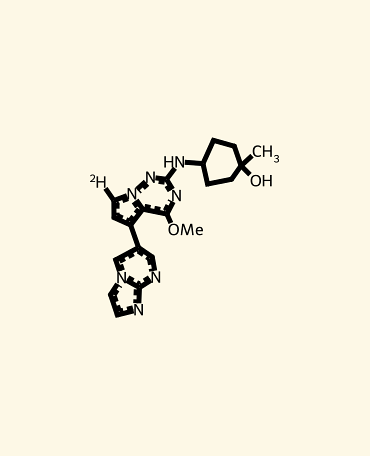 [2H]c1cc(-c2cnc3nccn3c2)c2c(OC)nc(NC3CCC(C)(O)CC3)nn12